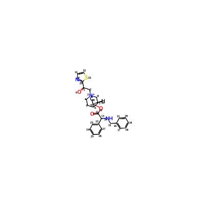 O=C(C[N+]12CCC(CC1)[C@@H](OC(=O)C(NCc1ccccc1)c1ccccc1)C2)c1nccs1